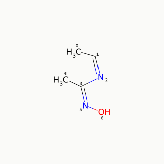 C/C=N\C(C)=N/O